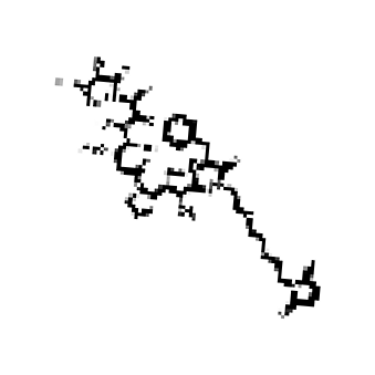 CC[C@@H](C)[C@@H]([C@@H](CC(=O)N1CCC[C@H]1[C@H](OC)[C@@H](C)C(=O)N[C@@H](Cc1ccccc1)C(=O)NCCOCCOCCN1C(=O)C=CC1=O)OC)N(C)C(=O)C(NC(=O)[C@H](C(C)C)N(C)C)C(C)C